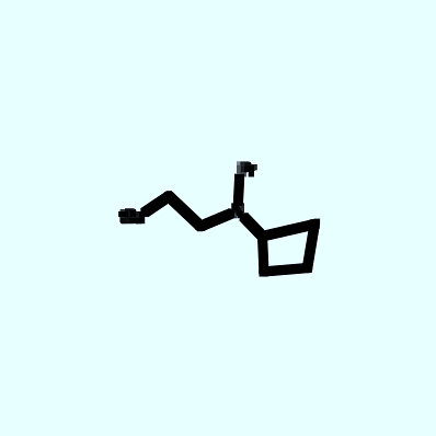 CC(C)N(CCC(C)(C)C)C1CCC1